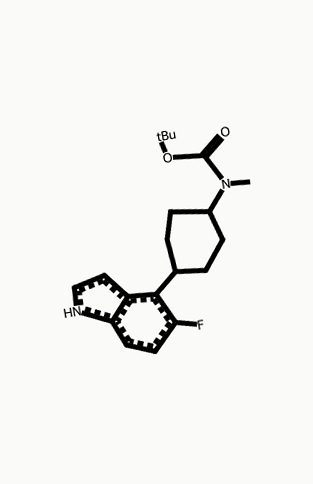 CN(C(=O)OC(C)(C)C)C1CCC(c2c(F)ccc3[nH]ccc23)CC1